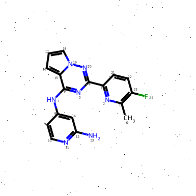 Cc1nc(-c2nc(Nc3ccnc(N)c3)c3cccn3n2)ccc1F